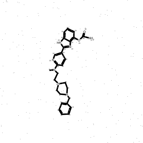 CN(CCN1CCN(Cc2ccccc2)CC1)c1ccc(-c2nc3c(OC(N)=O)cccc3[nH]2)cn1